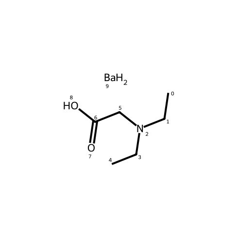 CCN(CC)CC(=O)O.[BaH2]